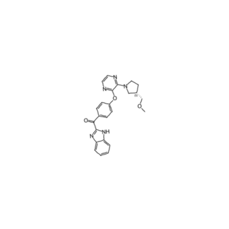 COC[C@H]1CCN(c2nccnc2Oc2ccc(C(=O)c3nc4ccccc4[nH]3)cc2)C1